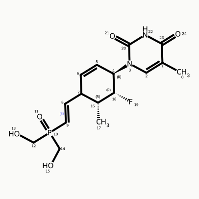 Cc1cn([C@@H]2C=CC(/C=C/P(=O)(CO)CO)[C@@H](C)[C@H]2F)c(=O)[nH]c1=O